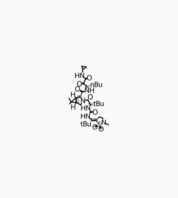 CCCC[C@H](NC(=O)[C@@H]1[C@@H]2[C@H](CN1C(=O)[C@@H](NC(=O)N[C@H]([C@H]1CCN(C)S1(=O)=O)C(C)(C)C)C(C)(C)C)C2(C)C)C(=O)C(=O)NC1CC1